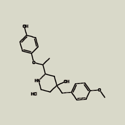 COc1ccc(CC2(O)CCNC(C(C)Oc3ccc(O)cc3)C2)cc1.Cl